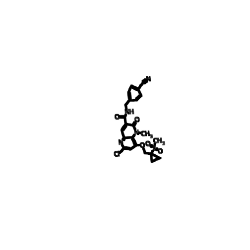 Cn1c(=O)c(C(=O)NCc2ccc(C#N)cc2)cc2nc(Cl)cc(OCC3(S(C)(=O)=O)CC3)c21